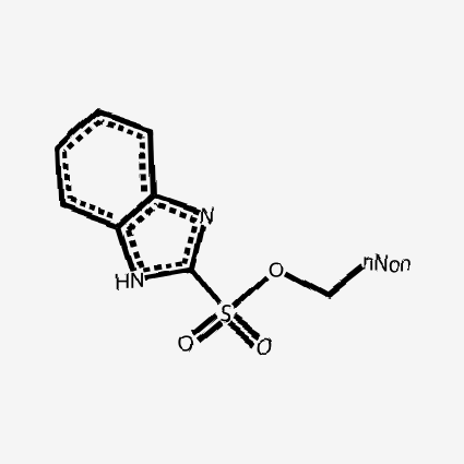 CCCCCCCCCCOS(=O)(=O)c1nc2ccccc2[nH]1